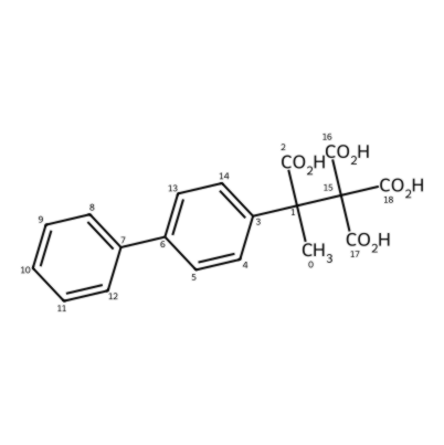 CC(C(=O)O)(c1ccc(-c2ccccc2)cc1)C(C(=O)O)(C(=O)O)C(=O)O